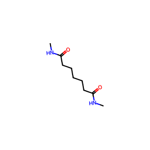 CNC(=O)CCCCCC(=O)NC